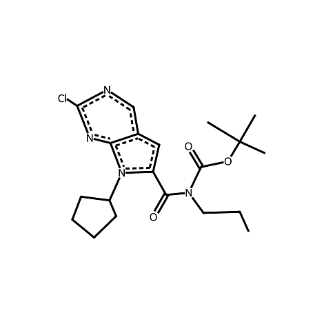 CCCN(C(=O)OC(C)(C)C)C(=O)c1cc2cnc(Cl)nc2n1C1CCCC1